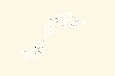 Nc1ncnc2c1ccn2[C@@H]1O[C@H]([C@H](O)c2ccc(Cl)c(OCC(=O)NCCCCNc3cccc4c3C(=O)N(C3CCC(=O)NC3=O)C4=O)c2)[C@@H](O)[C@H]1O